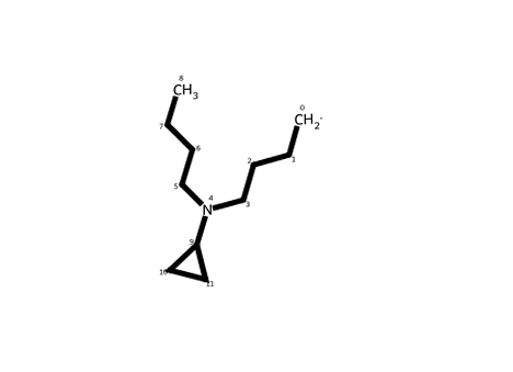 [CH2]CCCN(CCCC)C1CC1